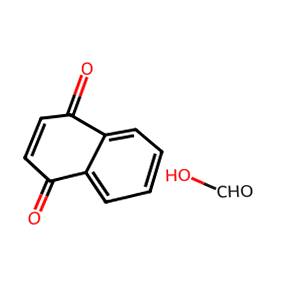 O=C1C=CC(=O)c2ccccc21.O=CO